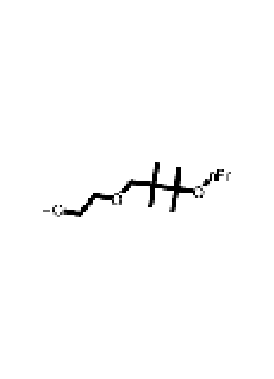 CCCOC(C)(C)C(C)(C)COCCO